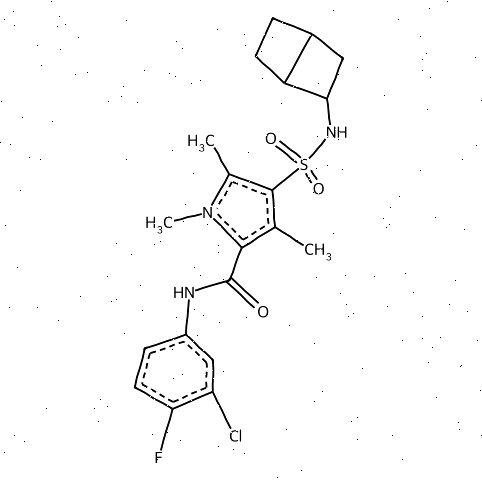 Cc1c(S(=O)(=O)NC2CC3CCC32)c(C)n(C)c1C(=O)Nc1ccc(F)c(Cl)c1